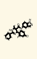 CC1=C(C(=O)Nc2ccc3[nH]ncc3c2)C(c2ccc(Cl)cc2F)N=C(c2ccncc2)N1